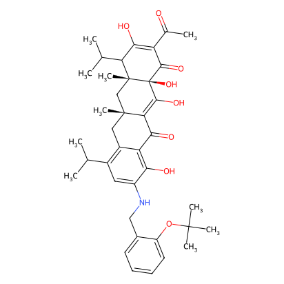 CC(=O)C1=C(O)C(C(C)C)[C@@]2(C)C[C@@]3(C)Cc4c(C(C)C)cc(NCc5ccccc5OC(C)(C)C)c(O)c4C(=O)C3=C(O)[C@@]2(O)C1=O